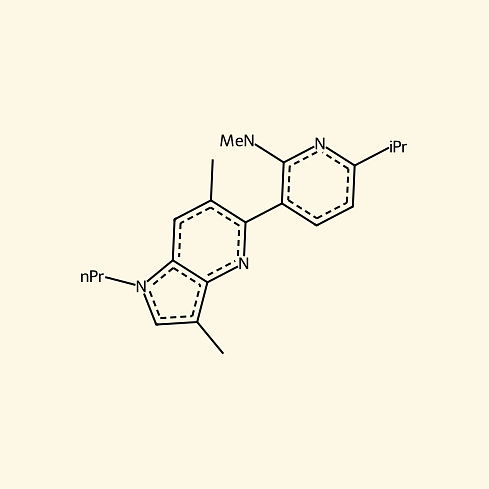 CCCn1cc(C)c2nc(-c3ccc(C(C)C)nc3NC)c(C)cc21